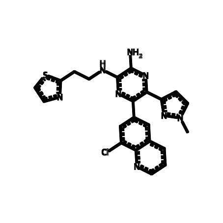 Cn1ccc(-c2nc(N)c(NCCc3nccs3)nc2-c2cc(Cl)c3ncccc3c2)n1